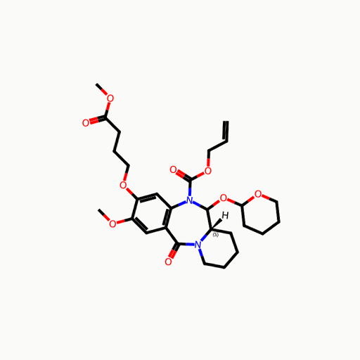 C=CCOC(=O)N1c2cc(OCCCC(=O)OC)c(OC)cc2C(=O)N2CCCC[C@H]2C1OC1CCCCO1